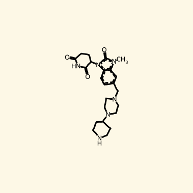 Cn1c(=O)n(C2CCC(=O)NC2=O)c2ccc(CN3CCN(C4CCNCC4)CC3)cc21